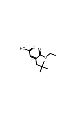 CCOC(=O)/C(=C\C(=O)O)CC(C)(C)C